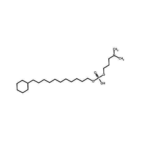 CN(C)CCCOP(=O)(O)OCCCCCCCCCCCC1CCCCC1